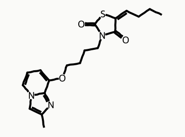 CCCC=C1SC(=O)N(CCCCOc2cccn3cc(C)nc23)C1=O